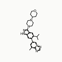 Cc1cc(-c2cc3[nH]nc(N4CCN(C5CCOCC5)CC4)c3cc2C(C)C)cn2ncnc12